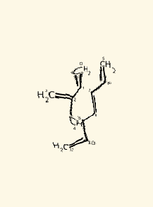 C=CC(=C)C.C=CC=CCC=C